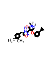 Cc1ccc(C[C@@H]2CON=C(c3c(Oc4cccc(C5CC5)c4)cnn(C)c3=O)N2)cc1C